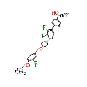 C=CCCOc1ccc(COc2ccc(-c3ccc(-c4ccc(C(O)CCC)cc4)c(F)c3F)cc2)cc1F